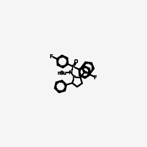 CCCCN(P1C(c2ccccc2)CCC1c1ccccc1)P(=O)(c1ccc(F)cc1)c1ccc(F)cc1